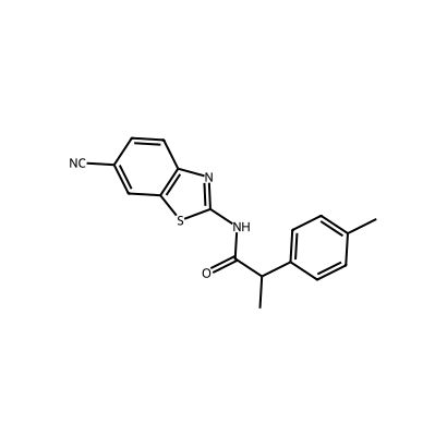 Cc1ccc(C(C)C(=O)Nc2nc3ccc(C#N)cc3s2)cc1